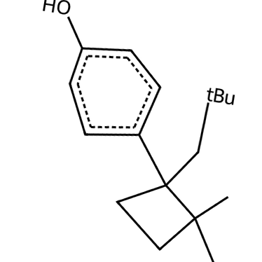 CC(C)(C)CC1(c2ccc(O)cc2)CCC1(C)C